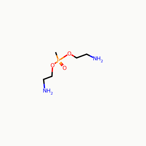 CP(=O)(OCCN)OCCN